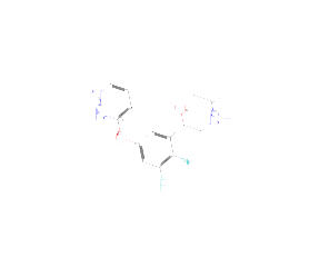 Fc1cc(Oc2cccnn2)cc([C@@H]2CNCCO2)c1F